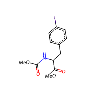 COC(=O)NC(Cc1ccc(I)cc1)C(=O)OC